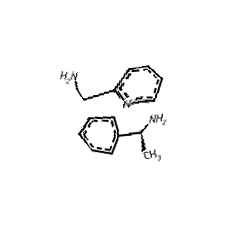 C[C@H](N)c1ccccc1.NCc1ccccn1